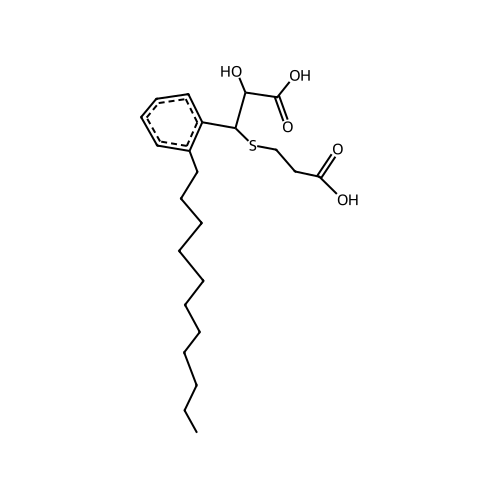 CCCCCCCCCCCc1ccccc1C(SCCC(=O)O)C(O)C(=O)O